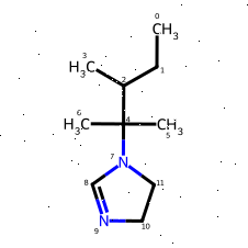 CCC(C)C(C)(C)N1C=NCC1